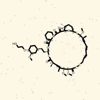 CO[C@H]1C[C@@H]2CC[C@@H](C)[C@@](O)(O2)C(=O)C(=O)N2CCCC[C@H]2C(=O)O[C@H](CC[C@@H]2CC[C@@H](OCCO)[C@H](OC)C2)CC(=O)[C@H](C)/C=C(\C)[C@@H](OC)[C@@H](OC)C(=O)CCC/C=C/C=C/C=C/1C